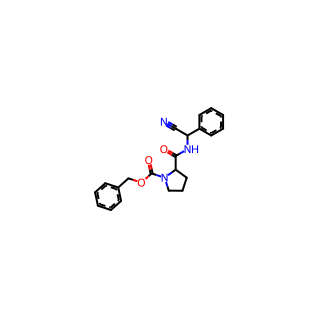 N#CC(NC(=O)C1CCCN1C(=O)OCc1ccccc1)c1ccccc1